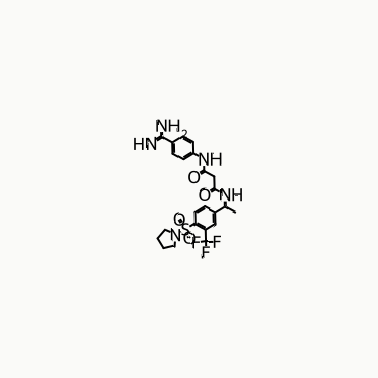 CC(NC(=O)CC(=O)Nc1ccc(C(=N)N)cc1)c1ccc(S(=O)(=O)N2CCCC2)c(C(F)(F)F)c1